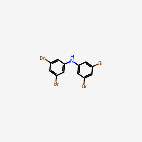 Brc1cc(Br)cc(Nc2cc(Br)cc(Br)c2)c1